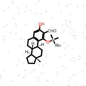 CC(C)(C)[Si](C)(C)Oc1c(C=O)c(O)cc2c1[C@H]1CC[C@]3(C)CCC[C@H]3[C@@H]1CC2